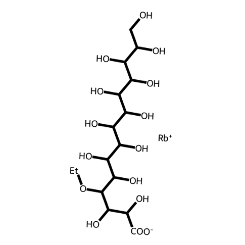 CCOC(C(O)C(O)C(=O)[O-])C(O)C(O)C(O)C(O)C(O)C(O)C(O)C(O)C(O)CO.[Rb+]